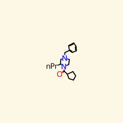 CCCC1CN(Cc2ccccc2)CCN1C(=O)C1CCCC1